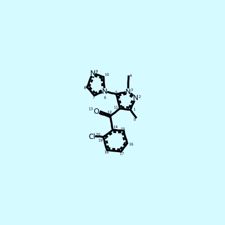 Cc1nn(C)c(-n2ccnc2)c1C(=O)c1ccccc1Cl